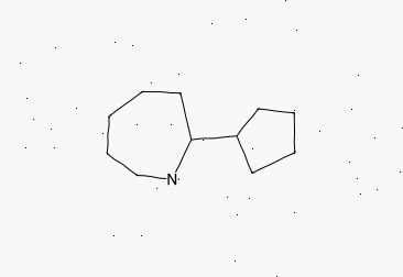 C1CC[N]C(C2CCCC2)CC1